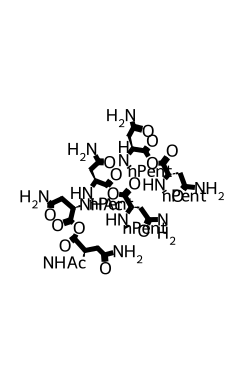 CC(=O)N[C@@H](CC(N)=O)C(=O)OC(=O)[C@H](CC(N)=O)NC(C)=O.CCCCCN[C@@H](CC(N)=O)C(=O)OC(=O)[C@H](CC(N)=O)NCCCCC.CCCCCN[C@@H](CC(N)=O)C(=O)OC(=O)[C@H](CC(N)=O)NCCCCC